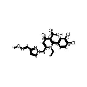 CCn1c(Cn2ccc(/C=N/OC)n2)cc(=O)c(C(=O)O)c1-c1ccc(Cl)c(Cl)c1